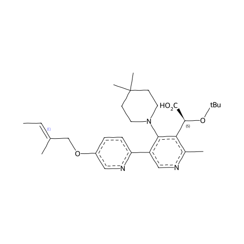 C/C=C(\C)COc1ccc(-c2cnc(C)c([C@H](OC(C)(C)C)C(=O)O)c2N2CCC(C)(C)CC2)nc1